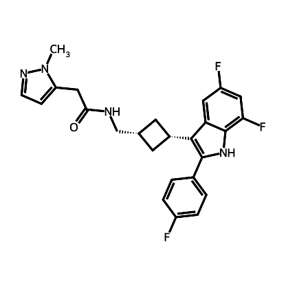 Cn1nccc1CC(=O)NC[C@H]1C[C@@H](c2c(-c3ccc(F)cc3)[nH]c3c(F)cc(F)cc32)C1